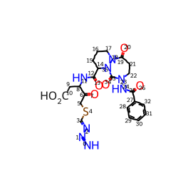 N=N/N=C/SCC(=O)C(CC(=O)O)NC(=O)C1CCCN2C(=O)CCN(NC(=O)c3ccccc3)C(=O)N12